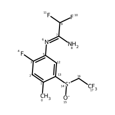 Cc1cc(F)c(/N=C(\N)C(F)F)cc1[S+]([O-])CC(F)(F)F